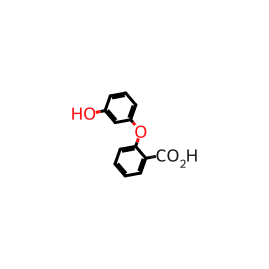 O=C(O)c1ccccc1Oc1cccc(O)c1